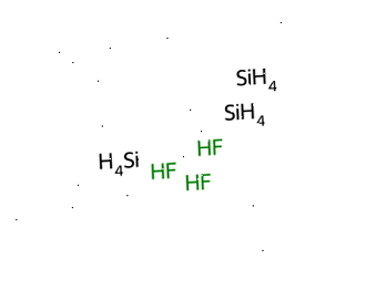 F.F.F.[SiH4].[SiH4].[SiH4]